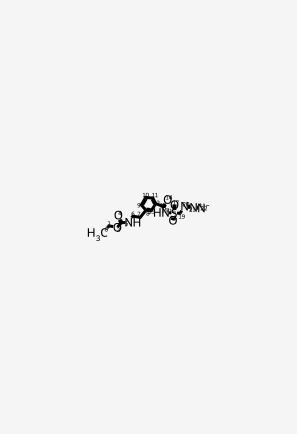 CCOC(=O)NCCc1cccc(C(=O)NS(=O)(=O)CN=[N+]=[N-])c1